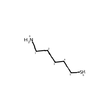 NCCCCCS